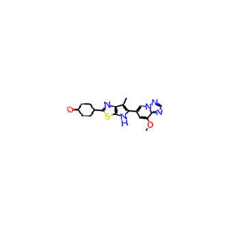 COc1cc(-c2[nH]c3sc(C4CCC(=O)CC4)nc3c2C)cn2ncnc12